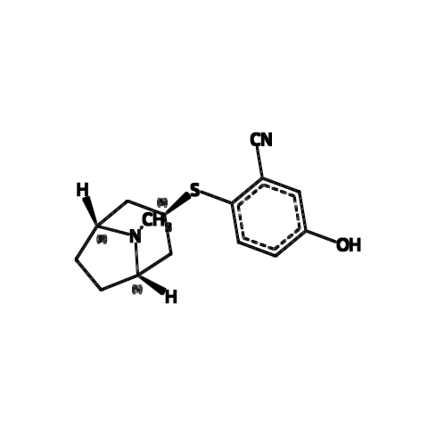 CN1[C@@H]2CC[C@H]1C[C@H](Sc1ccc(O)cc1C#N)C2